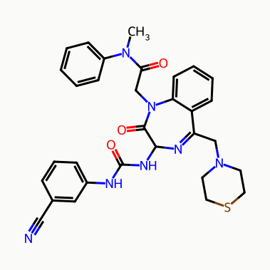 CN(C(=O)CN1C(=O)C(NC(=O)Nc2cccc(C#N)c2)N=C(CN2CCSCC2)c2ccccc21)c1ccccc1